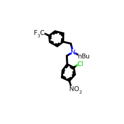 CCCCN(Cc1ccc(C(F)(F)F)cc1)Cc1ccc([N+](=O)[O-])cc1Cl